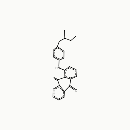 CCC(C)Cc1ccc(Nc2cccc3c2C(=O)c2ccccc2C3=O)cc1